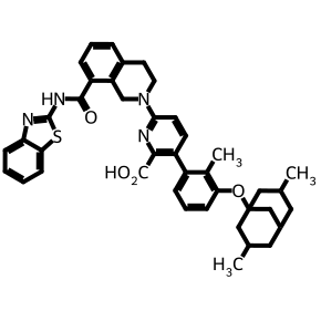 Cc1c(OC23CC(C)CC(CC(C)C2)C3)cccc1-c1ccc(N2CCc3cccc(C(=O)Nc4nc5ccccc5s4)c3C2)nc1C(=O)O